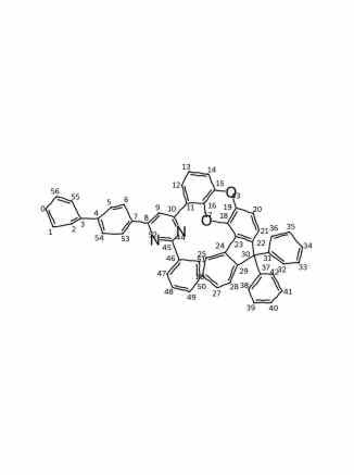 c1ccc(-c2ccc(-c3cc(-c4cccc5c4Oc4c(ccc6c4-c4ccccc4C6(c4ccccc4)c4ccccc4)O5)nc(-c4ccccc4)n3)cc2)cc1